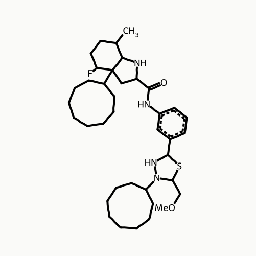 COCC1SC(c2cccc(NC(=O)C3CC4(C5CCCCCCCC5)C(F)CCC(C)C4N3)c2)NN1C1CCCCCCCC1